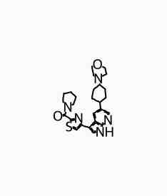 O=C(c1nc(-c2c[nH]c3ncc(C4CCC(N5CCOCC5)CC4)cc23)cs1)N1CCCCC1